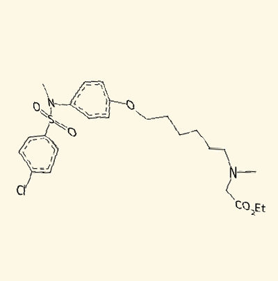 CCOC(=O)CN(C)CCCCCCOc1ccc(N(C)S(=O)(=O)c2ccc(Cl)cc2)cc1